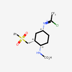 CC(C)S(=O)(=O)C[C@@H]1C[C@H](/N=C(\Cl)C(F)(F)F)CC[C@@H]1NC(=O)O